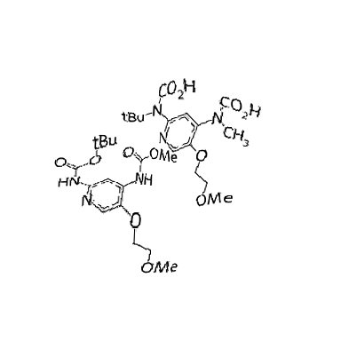 COCCOc1cnc(N(C(=O)O)C(C)(C)C)cc1N(C)C(=O)O.COCCOc1cnc(NC(=O)OC(C)(C)C)cc1NC(=O)OC